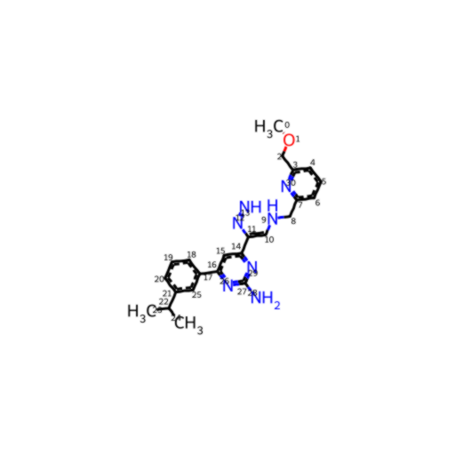 COCc1cccc(CN/C=C(\N=N)c2cc(-c3cccc(C(C)C)c3)nc(N)n2)n1